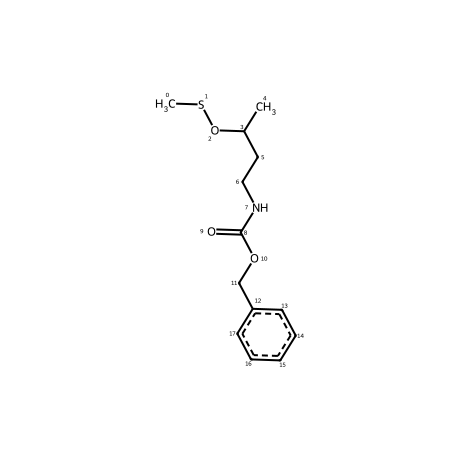 CSOC(C)CCNC(=O)OCc1ccccc1